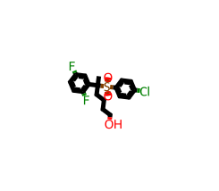 CC(CCCCO)(c1cc(F)ccc1F)S(=O)(=O)c1ccc(Cl)cc1